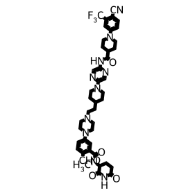 CN(C(=O)c1cc(N2CCN(CCC3CCN(c4cnc(NC(=O)C5CCN(c6ccc(C#N)c(C(F)(F)F)c6)CC5)cn4)CC3)CC2)ccc1C=O)C1CCC(=O)NC1=O